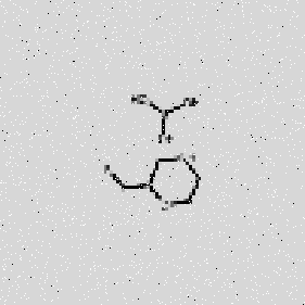 OB(O)O.[K][CH2]C1CNCCO1